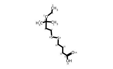 CCOC(C)(C)CCSSCCCC(=O)O